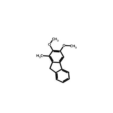 COc1cc2c(c(C)c1OC)Cc1ccccc1-2